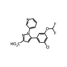 O=C(O)c1cc(-c2cc(Cl)cc(OC(F)F)c2)n(-c2cccnc2)n1